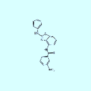 O=C(Nc1cccc2sc(Nc3ccccc3)nc12)c1cccc([N+](=O)[O-])c1